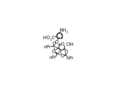 CCCC(=O)O[C@@H]1[C@@H](OC(=O)CCC)[C@H](Oc2ccc(N)cc2C(=O)O)OC[C@H]1OC(=O)CCC.Cl